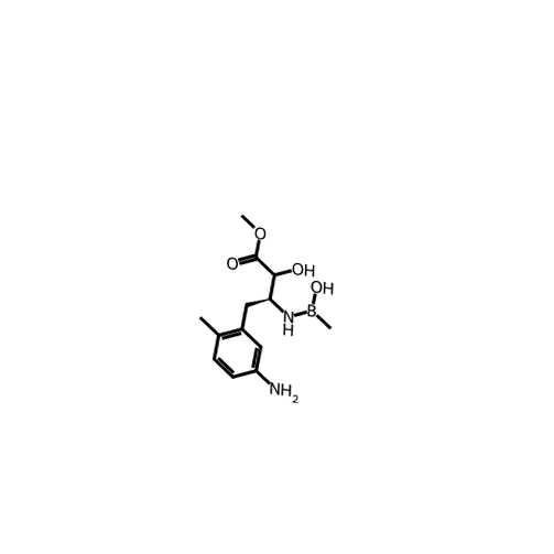 COC(=O)C(O)[C@H](Cc1cc(N)ccc1C)NB(C)O